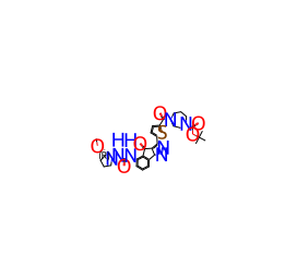 COC[C@H]1CCCN1NC(=O)Nc1cccc2c1C(=O)C1=C(c3ccc(C(=O)N4CCCN(C(=O)OC(C)(C)C)CC4)s3)N=NC12